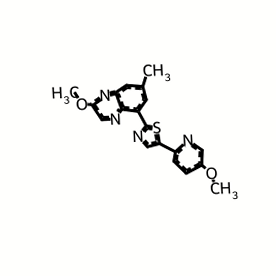 COc1ccc(-c2cnc(-c3cc(C)cc4nc(OC)cnc34)s2)nc1